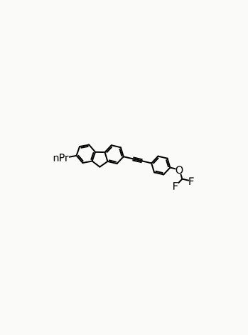 CCCc1ccc2c(c1)Cc1cc(C#Cc3ccc(OC(F)F)cc3)ccc1-2